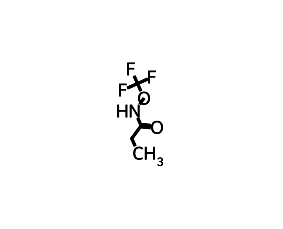 CCC(=O)NOC(F)(F)F